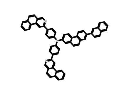 c1ccc2cc(-c3ccc4c(ccc5cc(N(c6ccc(-c7cc8c(ccc9ccccc98)cn7)cc6)c6ccc(-c7cc8c(ccc9ccccc98)cn7)cc6)ccc54)c3)ccc2c1